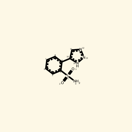 NS(=O)(=O)c1ccccc1-c1cnn[nH]1